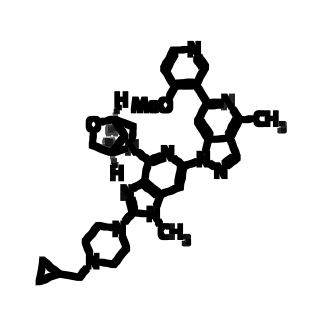 COc1ccncc1-c1cc2c(cnn2-c2cc3c(nc(N4CCN(CC5CC5)CC4)n3C)c(N3C[C@H]4C[C@@H]3CO4)n2)c(C)n1